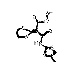 Cc1csc(NC(=O)C(C(=O)OC(C)C)=C2SCCS2)n1